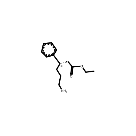 CCOC(=O)C[C@H](CCCN)c1ccccc1